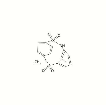 C.O=S1(=O)Nc2cccc(c2I)S(=O)(=O)c2ccc1cc2